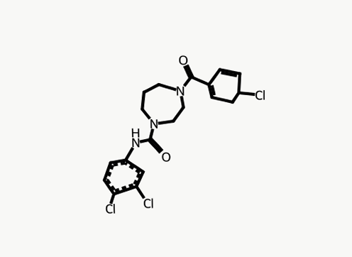 O=C(Nc1ccc(Cl)c(Cl)c1)N1CCCN(C(=O)C2=CCC(Cl)C=C2)CC1